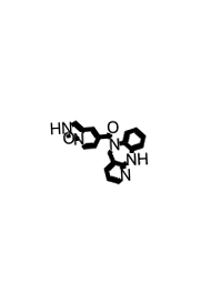 O=C(C1=CC2=CNON2C=C1)N1Cc2cccnc2Nc2ccccc21